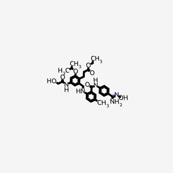 CCOC(=O)CCc1c(CNc2ccc(C)cc2C(=O)Nc2ccc(/C(N)=N/O)cc2)cc(NC(=O)CO)cc1OC(C)C